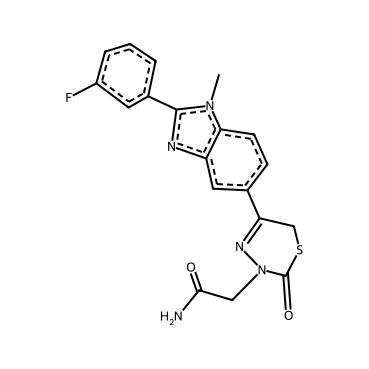 Cn1c(-c2cccc(F)c2)nc2cc(C3=NN(CC(N)=O)C(=O)SC3)ccc21